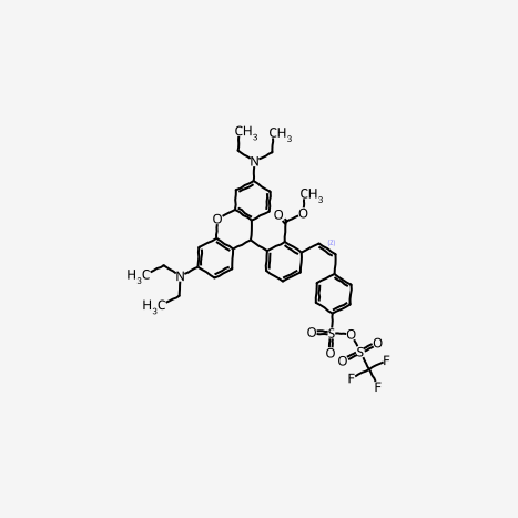 CCN(CC)c1ccc2c(c1)Oc1cc(N(CC)CC)ccc1C2c1cccc(/C=C\c2ccc(S(=O)(=O)OS(=O)(=O)C(F)(F)F)cc2)c1C(=O)OC